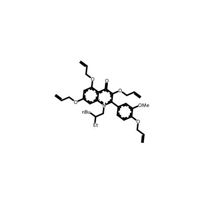 C=CCOc1cc(OCC=C)c2c(=O)c(OCC=C)c(-c3ccc(OCC=C)c(OC)c3)n(CC(CC)CCCC)c2c1